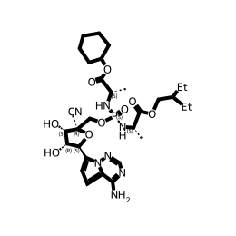 CCC(CC)COC(=O)[C@H](C)N[P@@](=O)(N[C@@H](C)C(=O)OC1CCCCC1)OC[C@@]1(C#N)O[C@@H](c2ccc3c(N)ncnn23)[C@H](O)[C@@H]1O